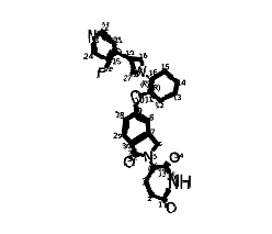 O=C1CC[C@@H](N2Cc3cc(O[C@@H]4CCCC[C@H]4N4CC(c5ccncc5F)C4)ccc3C2=O)C(=O)N1